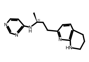 C[C@@H](C[CH]c1ccc2c(n1)NCCC2)Nc1ccncn1